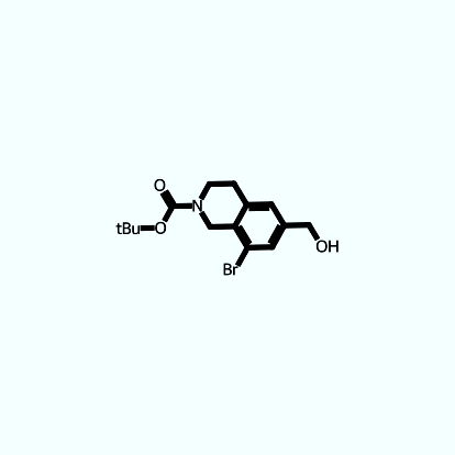 CC(C)(C)OC(=O)N1CCc2cc(CO)cc(Br)c2C1